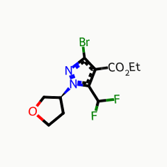 CCOC(=O)c1c(Br)nn([C@H]2CCOC2)c1C(F)F